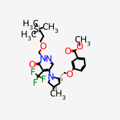 COC(=O)c1cccc(OC[C@@H]2C[C@@H](C)CN2c2cnn(COCC[Si](C)(C)C)c(=O)c2C(F)(F)F)c1